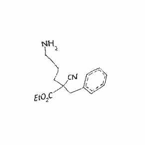 CCOC(=O)C(C#N)(CCCN)Cc1ccccc1